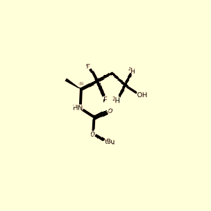 [2H]C([2H])(O)CC(F)(F)[C@H](C)NC(=O)OC(C)(C)C